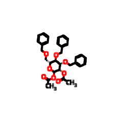 CC(=O)O[C@H]1O[C@H](COCc2ccccc2)[C@@H](OCc2ccccc2)[C@H](OCc2ccccc2)[C@@H]1OC(C)=O